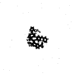 Cn1ccnc1-c1ccc(N/C(=C2\C(=O)Nc3ccc([N+](=O)[O-])cc32)c2ccc(CN3CCCCC3)cc2)cc1